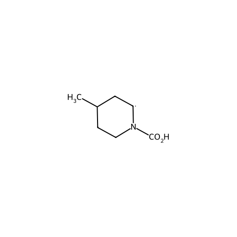 CC1C[CH]N(C(=O)O)CC1